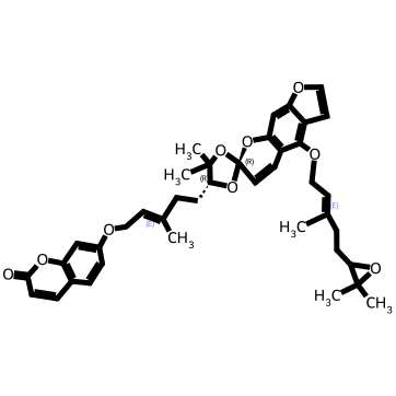 C/C(=C\COc1c2c(cc3occc13)O[C@@]1(C=C2)O[C@H](CC/C(C)=C/COc2ccc3ccc(=O)oc3c2)C(C)(C)O1)CCC1OC1(C)C